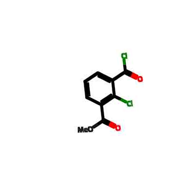 COC(=O)c1cccc(C(=O)Cl)c1Cl